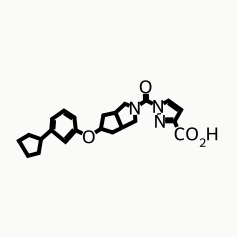 O=C(O)c1ccn(C(=O)N2CC3CC(Oc4cccc(C5CCCC5)c4)CC3C2)n1